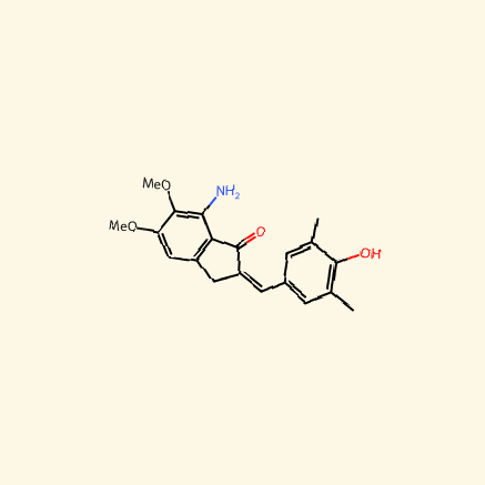 COc1cc2c(c(N)c1OC)C(=O)/C(=C\c1cc(C)c(O)c(C)c1)C2